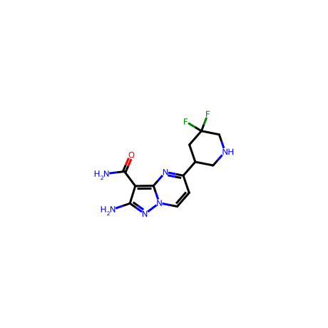 NC(=O)c1c(N)nn2ccc(C3CNCC(F)(F)C3)nc12